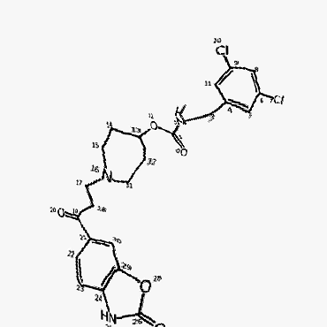 O=C(NCc1cc(Cl)cc(Cl)c1)OC1CCN(CCC(=O)c2ccc3[nH]c(=O)oc3c2)CC1